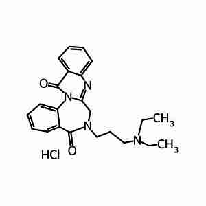 CCN(CC)CCCN1Cc2nc3ccccc3c(=O)n2-c2ccccc2C1=O.Cl